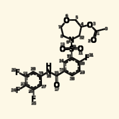 CC(=O)OC1COCCN(S(=O)(=O)c2cc(C(=O)Nc3cc(F)c(F)c(F)c3)ccc2F)C1